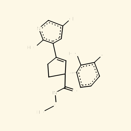 Cc1ncc(Cl)cc1C1=C[C@](C(=O)NOO)(c2cccc(F)c2C)CC1